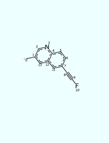 [CH2]c1cnc2ccc(C#CF)cc2c1